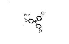 COc1ccc(P(c2ccc(OC)cc2)c2ccc(OC)cc2)cc1.[Au+].[Cl-]